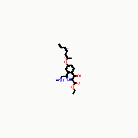 C=C/C=C\C=C(/C)Oc1ccc2c(O)c(C(=O)OCC)nc(CNC)c2c1